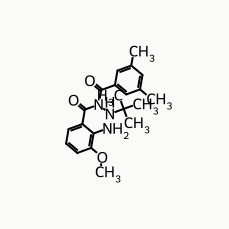 COc1cccc(C(=O)N(NC(C)(C)C)C(=O)c2cc(C)cc(C)c2)c1N